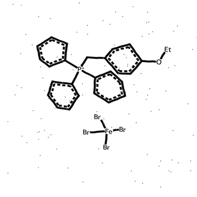 CCOc1ccc(C[P+](c2ccccc2)(c2ccccc2)c2ccccc2)cc1.[Br][Fe-]([Br])([Br])[Br]